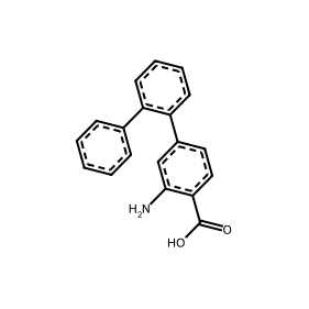 Nc1cc(-c2ccccc2-c2ccccc2)ccc1C(=O)O